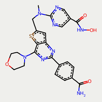 CN(Cc1cc2nc(-c3ccc(C(N)=O)cc3)nc(N3CCOCC3)c2s1)c1ncc(C(=O)NO)cn1